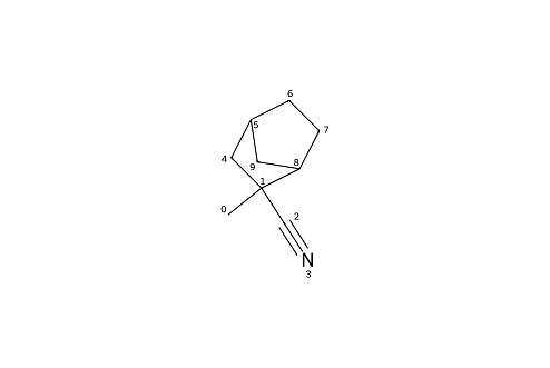 CC1(C#N)CC2CCC1C2